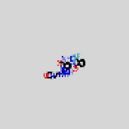 NC(=O)c1cc(NC(=O)c2ccccc2C(F)(F)F)cc2[nH]c(NCCN3CCOCC3)nc12